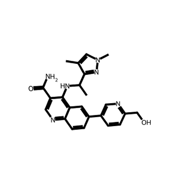 Cc1cn(C)nc1C(C)Nc1c(C(N)=O)cnc2ccc(-c3ccc(CO)nc3)cc12